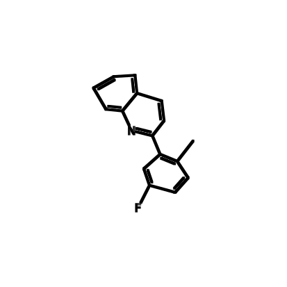 Cc1ccc(F)cc1-c1ccc2ccccc2n1